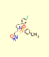 Cc1ccc(S(=O)(=O)N2C(CCc3nnco3)CCC2c2ccc(F)cc2)cc1